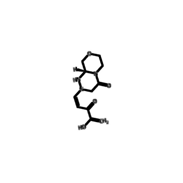 C=C(O)C(=O)/C=C\N1CC(=O)N2CCOC[C@H]2N1